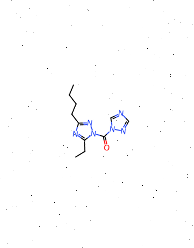 CCCCc1nc(CC)n(C(=O)n2cncn2)n1